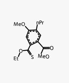 CCCc1cc(C(=O)OC)c(C(=S)OCC)cc1OC